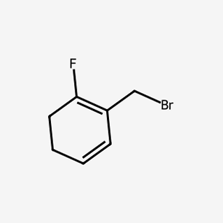 FC1=C(CBr)C=CCC1